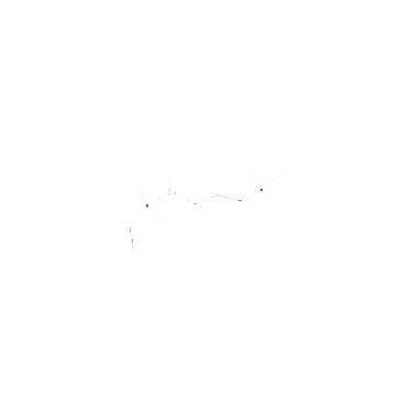 CCC(C)(C)NCCCC(C)(F)F